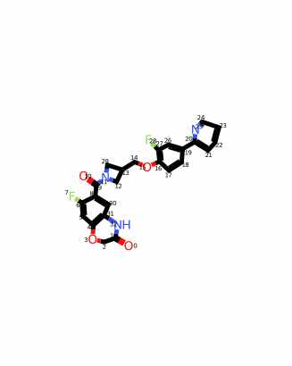 O=C1COc2cc(F)c(C(=O)N3CC(COc4ccc(-c5ccccn5)cc4F)C3)cc2N1